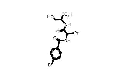 CC(C)C(NC(=O)c1ccc(Br)cc1)C(=O)NC(CO)C(=O)O